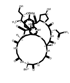 CC[C@H](C)[C@@H]1NC(=O)CNC(=O)[C@@H]2Cc3c([nH]c4cc(OC)ccc34)SC[C@@H](NC(=O)CNC1=O)C(=O)N[C@@H](CC(N)=O)C(=O)N1C[C@H](O)CC1C(=O)N[C@H]([C@@H](C)[C@@H](O)CO)C(=O)N2